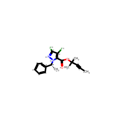 CC#CC(C)(C)OC(=O)c1c(F)c(F)nn1[C@H](C)c1ccccc1